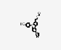 O=COCCc1ccc2c3cc(-n4ccnc4)ccc3n(-c3ccc(O)cc3)c2c1